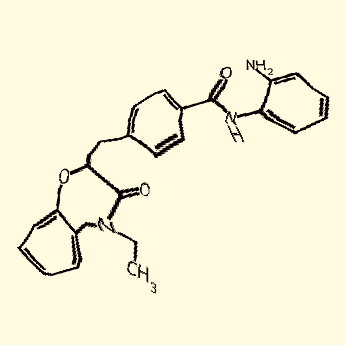 CCN1C(=O)C(Cc2ccc(C(=O)Nc3ccccc3N)cc2)Oc2ccccc21